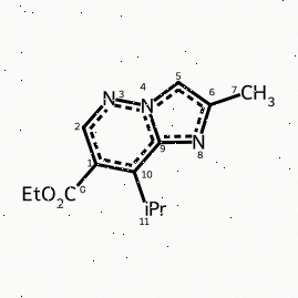 CCOC(=O)c1cnn2cc(C)nc2c1C(C)C